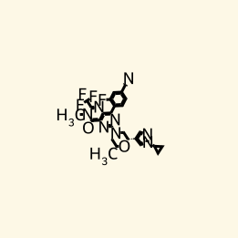 C[C@@H]1CN(c2nc(-c3ccc(C#N)cc3F)c3nc(C(F)(F)F)n(C)c(=O)c3n2)C[C@H](c2cnn(C3CC3)c2)O1